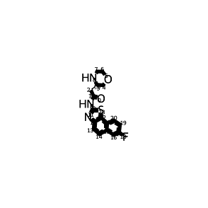 O=C(C[C@H]1COCCN1)Nc1nc2ccc3cc(F)ccc3c2s1